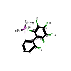 CCCCCCPCCC.Fc1ccccc1-c1c(F)c(F)c(F)c(F)c1F